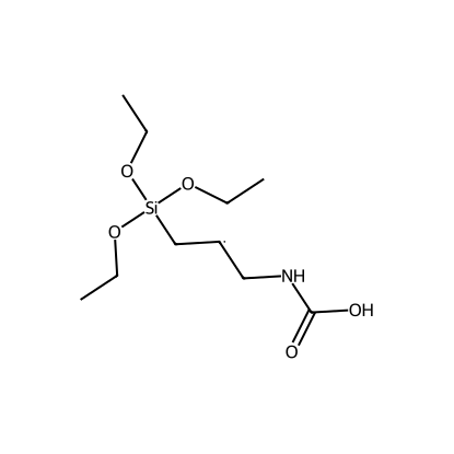 CCO[Si](C[CH]CNC(=O)O)(OCC)OCC